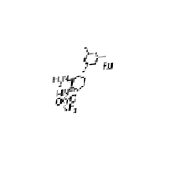 Cc1cc(C)cc(C)c1.N[C@H]1CCCC[C@@H]1NS(=O)(=O)C(F)(F)F.[Ru]